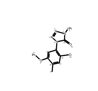 CCCn1nnn(-c2cc(OC(C)C)c(C)cc2Cl)c1=O